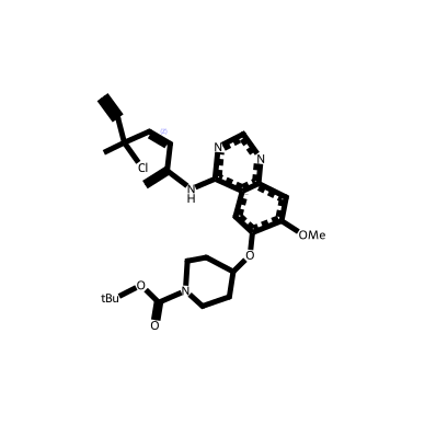 C#CC(C)(Cl)/C=C\C(=C)Nc1ncnc2cc(OC)c(OC3CCN(C(=O)OC(C)(C)C)CC3)cc12